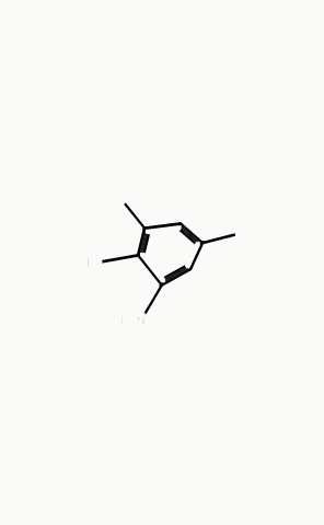 CCCc1cc(C)cc(N)c1CC